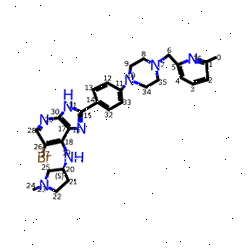 Cc1cccc(CN2CCN(c3ccc(-c4nc5c(N[C@H]6CCN(C)C6)c(Br)cnc5[nH]4)cc3)CC2)n1